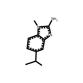 CC(C)c1ccc2c(c1)nc(N)n2C